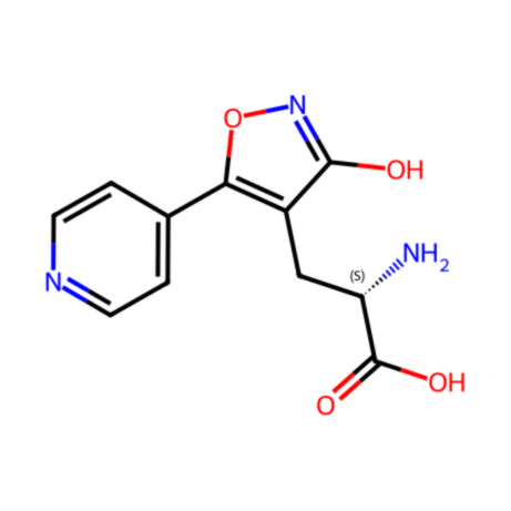 N[C@@H](Cc1c(O)noc1-c1ccncc1)C(=O)O